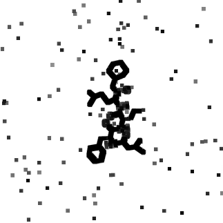 CCC[C@H](NC(=O)[C@H](Cc1ccccc1)NC(=O)CC(C)C)C(=O)N/C(CCC(C)C)=[N+](\[O-])CC1CCCCC1